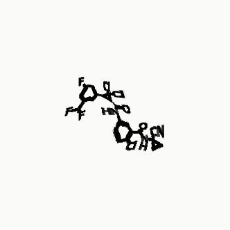 N#CC1(NC(=O)c2cc(NC(=O)[C@@H]3[C@@H](c4cc(F)cc(C(F)F)c4)C3(Cl)Cl)ccc2Cl)CC1